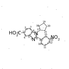 O=C(O)c1ccc2c(c1)nc(-c1cccc([N+](=O)[O-])c1)n2C1CCCC1